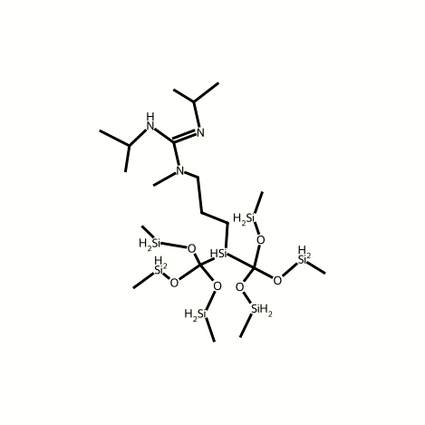 C[SiH2]OC(O[SiH2]C)(O[SiH2]C)[SiH](CCCN(C)C(=NC(C)C)NC(C)C)C(O[SiH2]C)(O[SiH2]C)O[SiH2]C